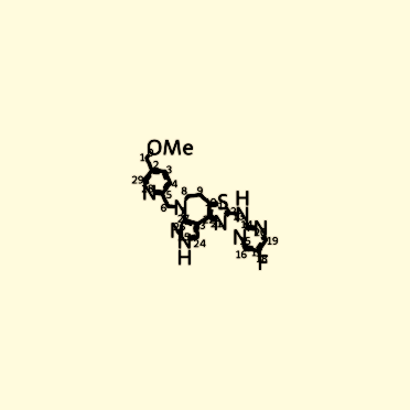 COCc1ccc(CN2CCc3sc(Nc4ncc(F)cn4)nc3-c3c[nH]nc32)nc1